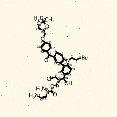 CCC(C)CCn1c2ccc(C(=O)c3ccc(OCC4COC(C)(C)O4)cc3)cc2c2cc(C(O)/C(CCl)=N/OC(=O)N(N)/C=C\N)ccc21